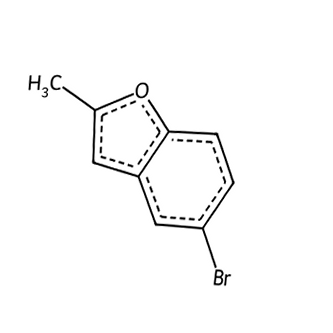 Cc1cc2cc(Br)ccc2o1